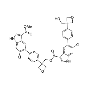 COC(=O)c1c[nH]c2cc(Cl)c(-c3ccc(C4(COC(=O)c5c[nH]c6cc(Cl)c(-c7ccc(C8(CO)COC8)cc7)cc56)COC4)cc3)cc12